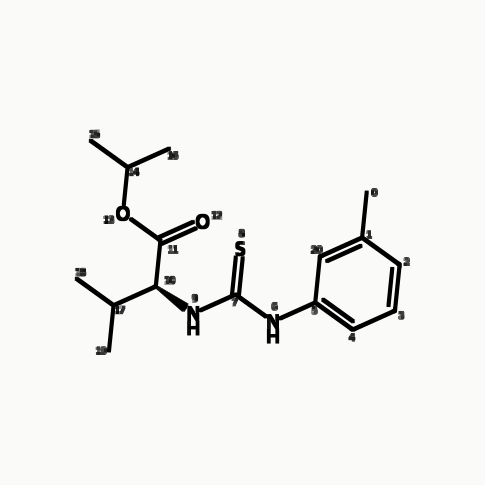 Cc1cccc(NC(=S)N[C@H](C(=O)OC(C)C)C(C)C)c1